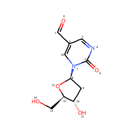 O=Cc1cnc(=O)n([C@H]2C[C@H](O)[C@@H](CO)O2)c1